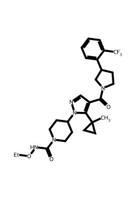 CCONC(=O)N1CCC(n2ncc(C(=O)N3CCC(c4ccccc4C(F)(F)F)C3)c2C2(C)CC2)CC1